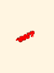 C=C(C)C(=O)OCCC[Si](C)(C)O[Si](C)(C)O[Si](C)(C)O[Si](C)(C)O[Si](C)(C)O[Si](C)(C)O[Si](C)(C)O[Si](C)(C)O[Si](C)(C)O[Si](C)(C)O[Si](C)(C)O[Si](C)(C)O[Si](C)(C)O[Si](C)(C)O[Si](C)(C)O[Si](C)(C)O[Si](C)(C)O[Si](C)(C)O[Si](C)(C)O[Si](C)(C)O[Si](C)(C)O[Si](C)(C)O[Si](C)(C)O[Si](C)(C)O[Si](C)(C)O[Si](C)(C)O[Si](C)(C)O[Si](C)(C)O[Si](C)(C)O[Si](C)(C)O[Si](C)(C)CCCC